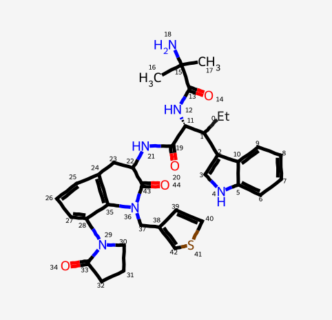 CCC(c1c[nH]c2ccccc12)[C@@H](NC(=O)C(C)(C)N)C(=O)NC1Cc2cccc(N3CCCC3=O)c2N(Cc2ccsc2)C1=O